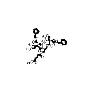 CC[C@H](C)[C@H](NC(=O)OCc1ccccc1)C(=O)OCC(COC(=O)CCCC(=O)O)OC(=O)[C@@H](NC(=O)OCc1ccccc1)[C@@H](C)CC